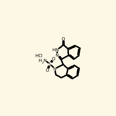 Cl.NS(=O)(=O)N1CCc2ccccc2C1c1n[nH]c(=O)c2ccccc12